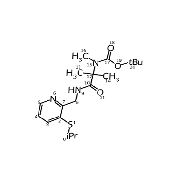 CC(C)Sc1cccnc1CNC(=O)C(C)(C)N(C)C(=O)OC(C)(C)C